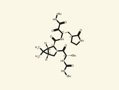 CCCCNC(=O)C(=O)[C@H](C[C@@H]1CCNC1=O)NC(=O)[C@@H]1[C@@H]2[C@H](CN1C(=O)[C@@H](NC(=O)NC(C)(C)C)C(C)(C)C)C2(C)C